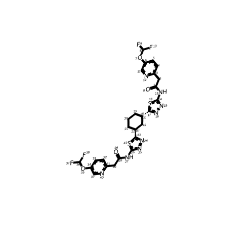 O=C(Cc1ccc(OC(F)F)cn1)Nc1nnc([C@H]2CCC[C@H](c3nnc(NC(=O)Cc4ccc(OC(F)F)cn4)s3)C2)s1